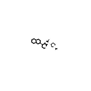 Cc1nc2c(-c3ccc4ccccc4c3)ccnc2n1[C@H]1CCN(C(=O)O)C1